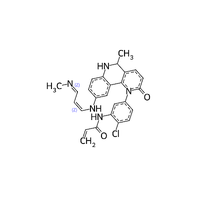 C=CC(=O)Nc1cc(-n2c3c(ccc2=O)C(C)Nc2ccc(N/C=C\C=N/C)cc2-3)ccc1Cl